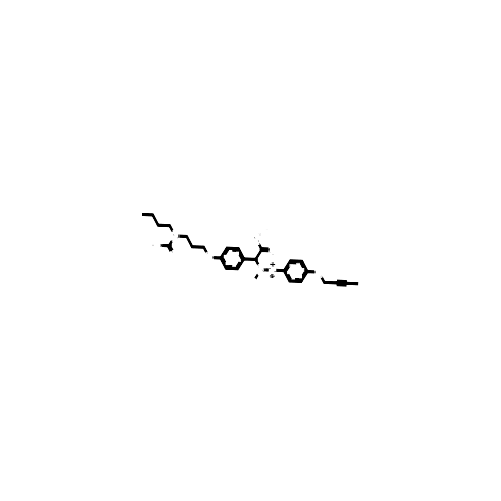 CC#CCOc1ccc(S(=O)(=O)N(C)C(C(=O)NO)c2ccc(OCCCN(CCCC)C(=O)O)cc2)cc1